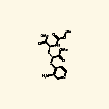 COC(=O)[C@H](C[C@@H](Oc1ccncc1N)C(=O)OC)NC(=O)OC(C)(C)C